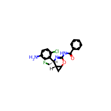 Nc1ccc(Cl)c([C@@]2(CF)N=C(NC(=O)c3ccccc3)OC3C[C@@H]32)c1